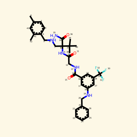 Cc1ccc(CNCC(NC(=O)CNC(=O)c2cc(NCc3ccccc3)cc(C(F)(F)F)c2)(C(N)=O)C(C)(C)C)c(C)c1